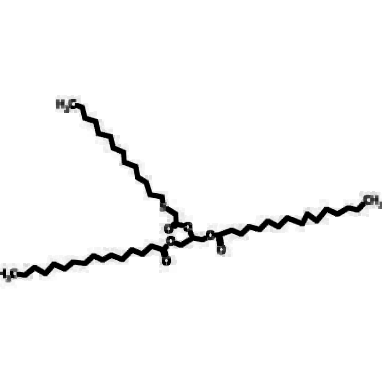 CCCCCCCCCCCCCCCC(=O)OCC(COC(=O)CCCCCCCCCCCCCCC)OC(=O)CSCCCCCCCCCCCCCC